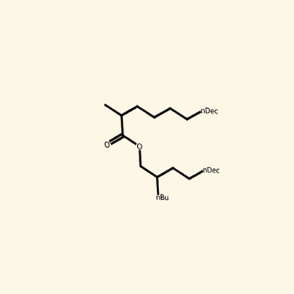 CCCCCCCCCCCCCCC(C)C(=O)OCC(CCCC)CCCCCCCCCCCC